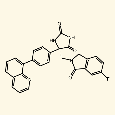 O=C1NC(=O)[C@@](CN2Cc3ccc(F)cc3C2=O)(c2ccc(-c3cccc4cccnc34)cc2)N1